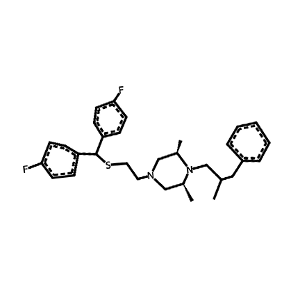 CC(Cc1ccccc1)CN1[C@H](C)CN(CCSC(c2ccc(F)cc2)c2ccc(F)cc2)C[C@@H]1C